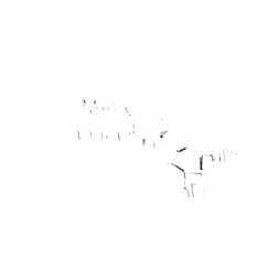 CCCCCCCCC(COC)OC(=O)c1cc(CCC)cc(CCC)c1